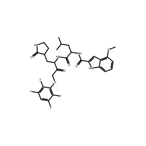 COc1cccc2[nH]c(C(=O)NC(CC(C)C)C(=O)NC(CC3CCNC3=O)C(=O)COc3c(F)c(F)cc(F)c3F)cc12